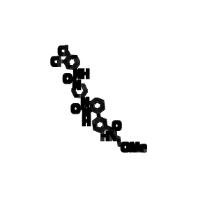 COCCNC(=O)c1cccc(-c2cccc3c2[nH]c(=O)n3C2CCN(C(=O)Nc3ccc(Cl)c(Cl)c3)CC2)c1